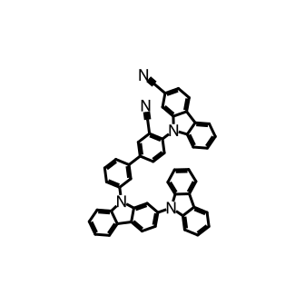 N#Cc1ccc2c3ccccc3n(-c3ccc(-c4cccc(-n5c6ccccc6c6ccc(-n7c8ccccc8c8ccccc87)cc65)c4)cc3C#N)c2c1